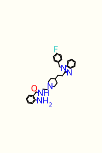 Nc1ccccc1C(=O)NCCN1CCC(CCc2nc3ccccc3n2Cc2ccc(F)cc2)CC1